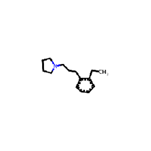 CCc1ccccc1CCCN1CCCC1